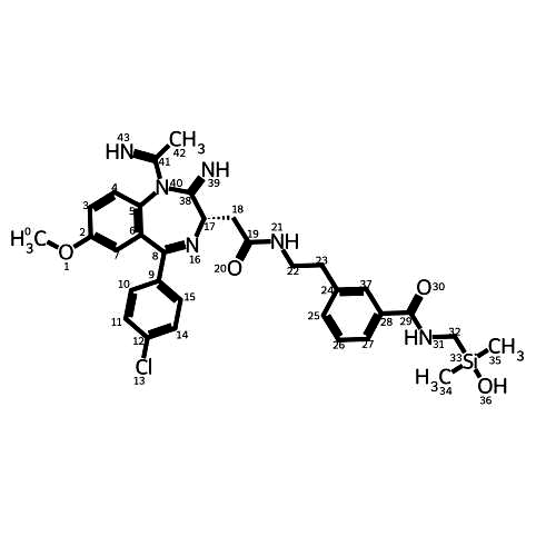 COc1ccc2c(c1)C(c1ccc(Cl)cc1)=N[C@@H](CC(=O)NCCc1cccc(C(=O)NC[Si](C)(C)O)c1)C(=N)N2C(C)=N